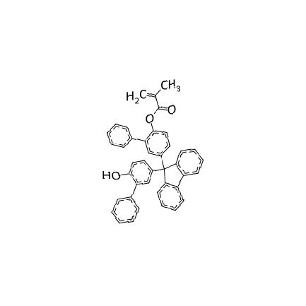 C=C(C)C(=O)Oc1ccc(C2(c3ccc(O)c(-c4ccccc4)c3)c3ccccc3-c3ccccc32)cc1-c1ccccc1